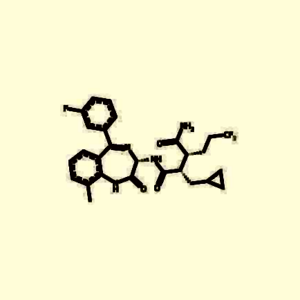 Cc1cccc2c1NC(=O)[C@@H](NC(=O)[C@@H](CC1CC1)[C@@H](CCC(F)(F)F)C(N)=O)N=C2c1cccc(F)c1